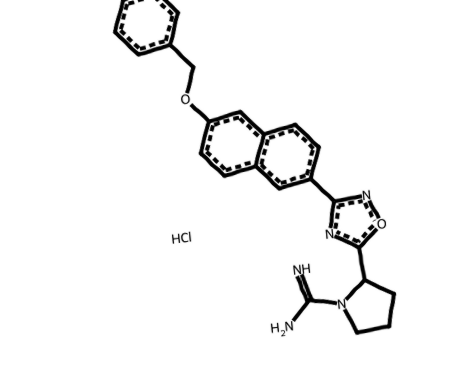 Cl.N=C(N)N1CCCC1c1nc(-c2ccc3cc(OCc4ccccc4)ccc3c2)no1